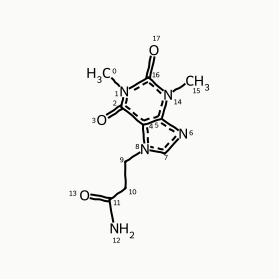 Cn1c(=O)c2c(ncn2CCC(N)=O)n(C)c1=O